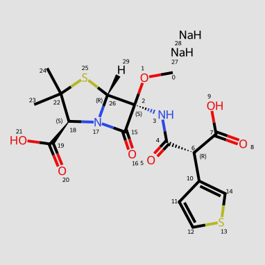 CO[C@@]1(NC(=O)[C@H](C(=O)O)c2ccsc2)C(=O)N2[C@@H](C(=O)O)C(C)(C)S[C@@H]21.[NaH].[NaH]